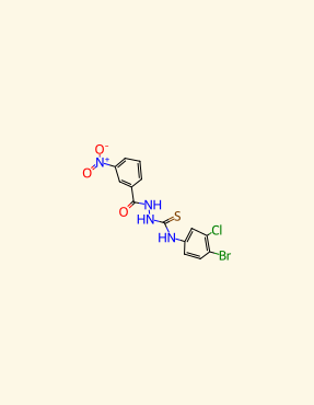 O=C(NNC(=S)Nc1ccc(Br)c(Cl)c1)c1cccc([N+](=O)[O-])c1